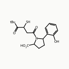 CC(C)(C)C(=O)C(S)CC(=O)N1C(C(=O)O)CCC1c1ccccc1O